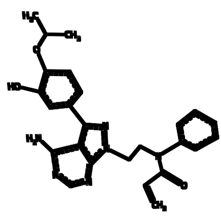 C=CC(=O)N(CCn1nc(-c2ccc(OC(C)C)c(O)c2)c2c(N)ncnc21)c1ccccc1